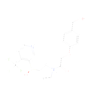 O=C(COc1ccc(CO)cc1)N1CC[C@H]([S@@+]([O-])c2cnccc2C(F)(F)F)C1